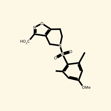 COc1cc(C)c(S(=O)(=O)N2CCc3onc(C(=O)O)c3C2)c(C)c1